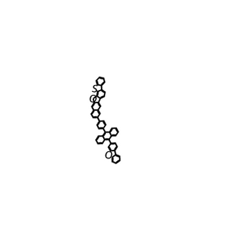 c1ccc2c(c1)oc1cc(-c3c4ccccc4c(-c4ccc(-c5ccc6cc7oc8c(ccc9c%10ccccc%10sc98)c7cc6c5)cc4)c4ccccc34)ccc12